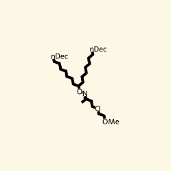 CCCCCCCCCCCCCCCCCC(CCCCCCCCCCCCCCCCC)O/N=C(\C)CCOCCOC